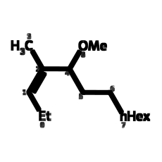 CCC=C(C)C(CCCCCCCC)OC